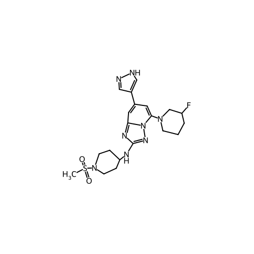 CS(=O)(=O)N1CCC(Nc2nc3cc(-c4cn[nH]c4)cc(N4CCCC(F)C4)n3n2)CC1